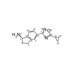 N[C@@H]1CCc2cc(-c3noc(C4CC4)n3)ccc21